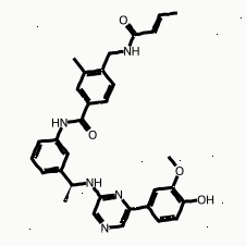 C/C=C/C(=O)NCc1ccc(C(=O)Nc2cccc([C@H](C)Nc3cncc(-c4ccc(O)c(OC)c4)n3)c2)cc1C